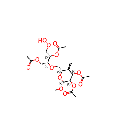 C=C1[C@@H](OC(C)=O)[C@@H](OC(C)=O)[C@H](OC)O[C@@H]1CO[C@H](COC(C)=O)[C@H](COO)OC(C)=O